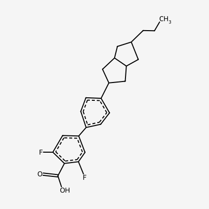 CCCC1CC2CC(c3ccc(-c4cc(F)c(C(=O)O)c(F)c4)cc3)CC2C1